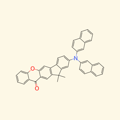 CC1(C)c2cc(N(c3ccc4ccccc4c3)c3ccc4ccccc4c3)ccc2-c2cc3oc4ccccc4c(=O)c3cc21